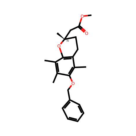 COC(=O)C[C@]1(C)CCc2c(C)c(OCc3ccccc3)c(C)c(C)c2O1